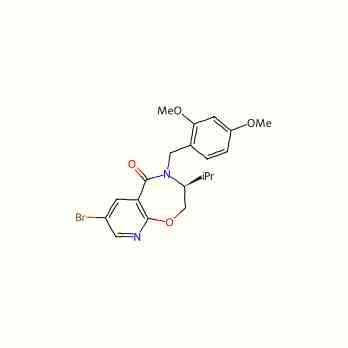 COc1ccc(CN2C(=O)c3cc(Br)cnc3OC[C@@H]2C(C)C)c(OC)c1